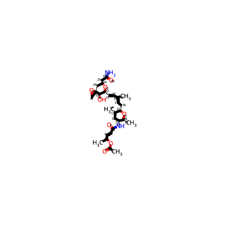 CC(=O)OC(C)C=CC(=O)N[C@@H]1C[C@H](C)[C@H](CC=C(C)C=C[C@H]2O[C@H](CC(N)=O)C[C@@]3(CO3)[C@@H]2O)O[C@@H]1C